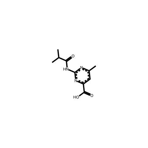 Cc1cc(C(=O)O)nc(NC(=O)C(C)C)n1